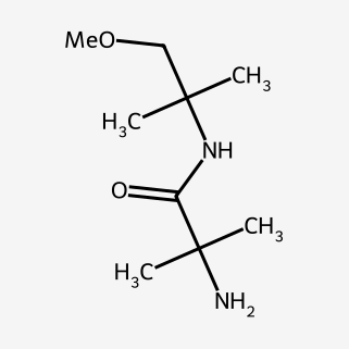 COCC(C)(C)NC(=O)C(C)(C)N